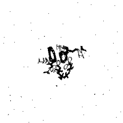 CC(C)NCCc1c[nH]c2cccc(OC(=O)CC(C)(C)CC(C)(C)CC(C)(C)CC(C)(C)CC(=O)Oc3cccc4[nH]cc(CCNC(C)C)c34)c12